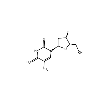 C=C1NC(=O)N([C@H]2C[C@@H](F)[C@@H](CO)O2)C=C1C